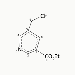 CCOC(=O)c1cncc(CCl)c1